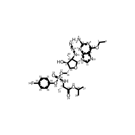 CCOc1nc(N)nc2c1ncn2[C@@H]1O[C@H](COP(=O)(N[C@@H](C)C(=O)OC(C)C)Oc2ccc(F)cc2)[C@@H](O)[C@@]1(C)N=[N+]=[N-]